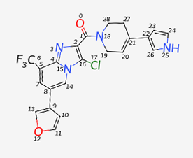 O=C(c1nc2c(C(F)(F)F)cc(-c3ccoc3)cn2c1Cl)N1CC=C(c2cc[nH]c2)CC1